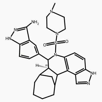 CN1CCN(S(=O)(=O)N2c3ccc4[nH]ncc4c3C3C4CCCCC(C4)[C@H]3C2c2ccc3[nH]nc(N)c3c2)CC1